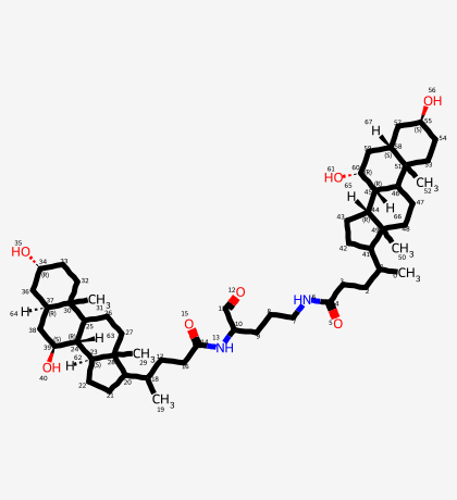 CC(CCC(=O)NCCCC(C=O)NC(=O)CCC(C)C1CC[C@H]2[C@H]3C(CCC12C)C1(C)CC[C@@H](O)C[C@@H]1C[C@@H]3O)C1CC[C@@H]2[C@H]3C(CCC12C)C1(C)CC[C@H](O)C[C@H]1C[C@H]3O